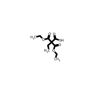 CCOC(=O)C(CC)(C(=O)O)C(=O)OCC